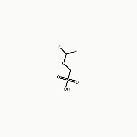 O=S(=O)(O)COC(F)F